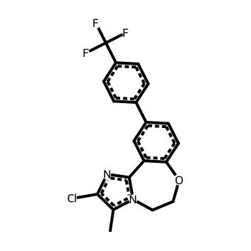 Cc1c(Cl)nc2n1CCOc1ccc(-c3ccc(C(F)(F)F)cc3)cc1-2